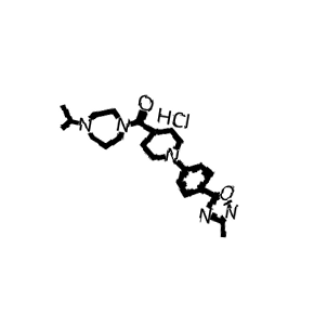 Cc1noc(-c2ccc(N3CCC(C(=O)N4CCCN(C(C)C)CC4)CC3)cc2)n1.Cl